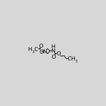 CCCCOC(=O)NC1CN(OC(C)=O)C1